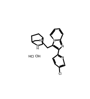 Cl.Cl.Clc1ccc(-c2nc3ccccn3c2CN2CC3CCC2CN3)nc1